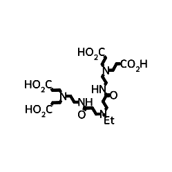 CCN(CCC(=O)NCCN(CCC(=O)O)CCC(=O)O)CCC(=O)NCCN(CCC(=O)O)CCC(=O)O